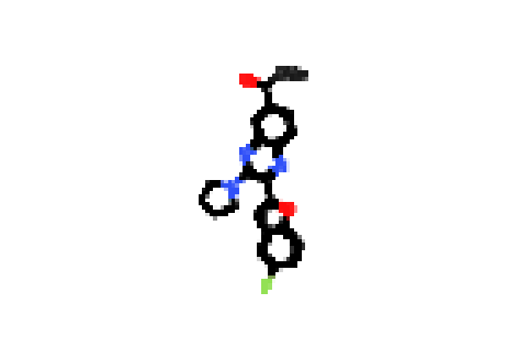 COC(=O)c1ccc2nc(-c3cc4cc(F)ccc4o3)c(N3CCCC3)nc2c1